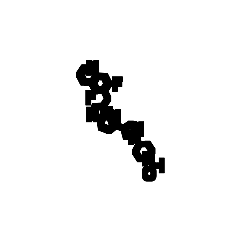 O=C(I)N1CCC(N2CC(c3ccc4ncc(Cc5c(F)cc6ncccc6c5F)n4n3)C=N2)CC1